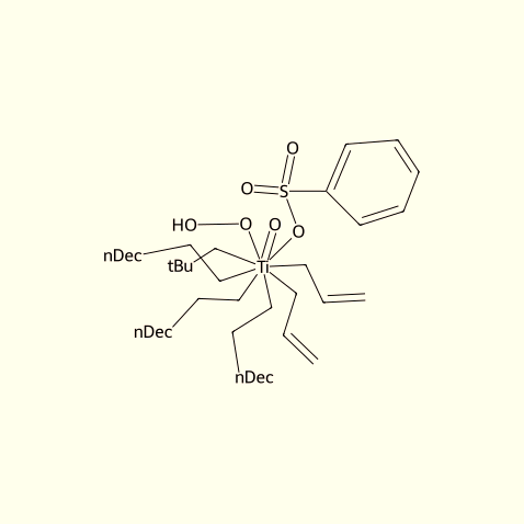 C=C[CH2][Ti](=[O])([CH2]C=C)([CH2]CCCCCCCCCCC)([CH2]CCCCCCCCCCC)([CH2]CCCCCCCCCCC)([CH2]C(C)(C)C)([O]O)[O]S(=O)(=O)c1ccccc1